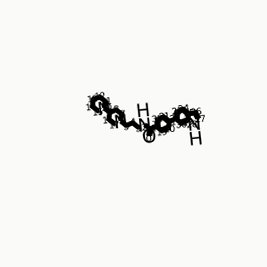 O=C(NCCCN1CCC(N2CCCCC2)CC1)c1ccc(-c2ccc3cc[nH]c3c2)cc1